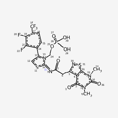 Cn1c(=O)c2c(CC(=O)/N=c3/scc(-c4ccc(C(F)(F)F)c(F)c4F)n3COP(=O)(O)O)nsc2n(C)c1=O